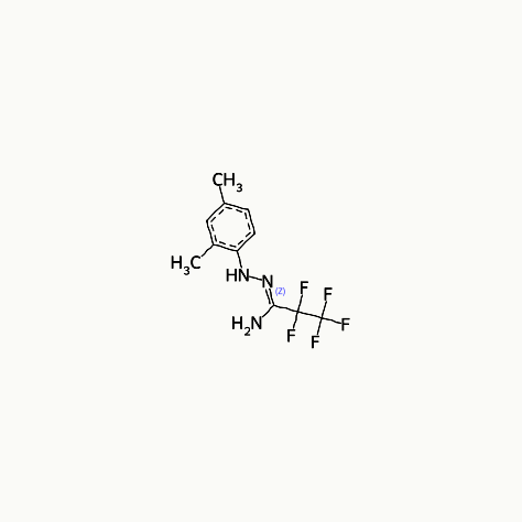 Cc1ccc(N/N=C(\N)C(F)(F)C(F)(F)F)c(C)c1